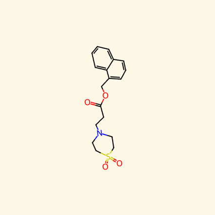 O=C(CCN1CCS(=O)(=O)CC1)OCc1cccc2ccccc12